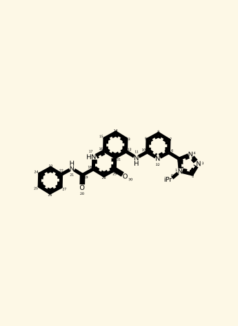 CC(C)n1cnnc1-c1cccc(Nc2cccc3[nH]c(C(=O)Nc4ccccc4)cc(=O)c23)n1